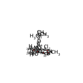 Cn1cc2c(Cl)c(-c3cn(COCC[Si](C)(C)C)c4nc(N5[C@@H]6CC[C@H]5[C@H](F)[C@H](NC(=O)OCc5ccccc5)C6)cnc34)ccc2n1